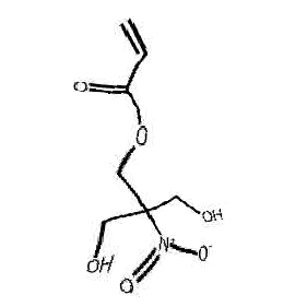 C=CC(=O)OCC(CO)(CO)[N+](=O)[O-]